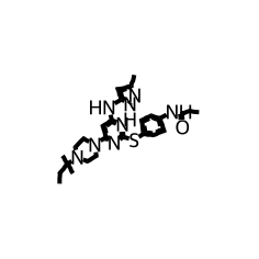 CCC(=O)Nc1ccc(Sc2nc(Nc3cc(C)n[nH]3)cc(N3CCN(C(C)(C)CC)CC3)n2)cc1